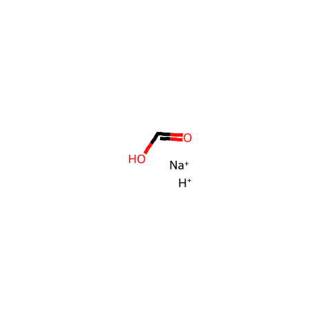 O=CO.[H+].[Na+]